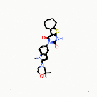 Cn1c(N2CCOC(C)(C)C2)cc2cc(-n3c(=O)[nH]c4sc5c(c4c3=O)CCCCC5)ccc21